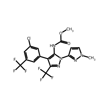 COC(=O)Nc1c(-c2cc(Cl)cc(C(F)(F)F)c2)c(C(F)(F)F)nn1-c1ccn(C)n1